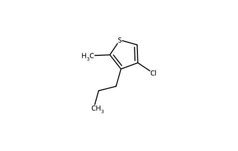 CCCc1c(Cl)csc1C